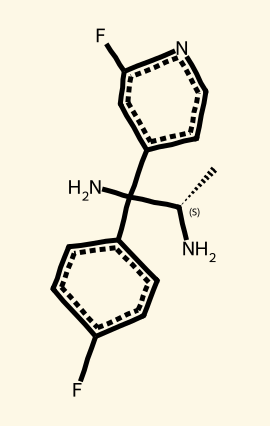 C[C@H](N)C(N)(c1ccc(F)cc1)c1ccnc(F)c1